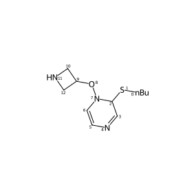 CCCCSC1C=NC=CN1OC1CNC1